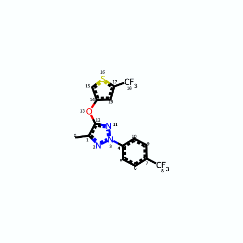 Cc1nn(-c2ccc(C(F)(F)F)cc2)nc1Oc1csc(C(F)(F)F)c1